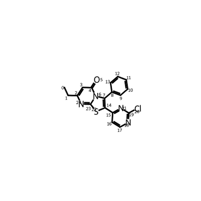 CCc1cc(=O)n2c(-c3ccccc3)c(-c3ccnc(Cl)n3)sc2n1